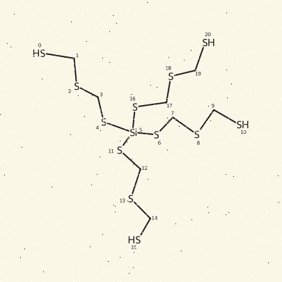 SCSCS[Si](SCSCS)(SCSCS)SCSCS